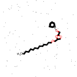 CCCCCCCCCCCCCCOCC1COC(COCc2ccccc2)O1